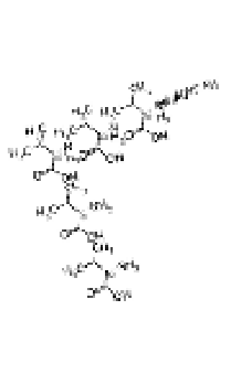 CC(C)[C@H](N)C(=O)O.CC(C)[C@H](N)C(=O)O.CC(C)[C@H](N)C(=O)O.CC(C)[C@H](N)C(=O)O.CC(C)[C@H](N)C(=O)O.F.F.F.F.F